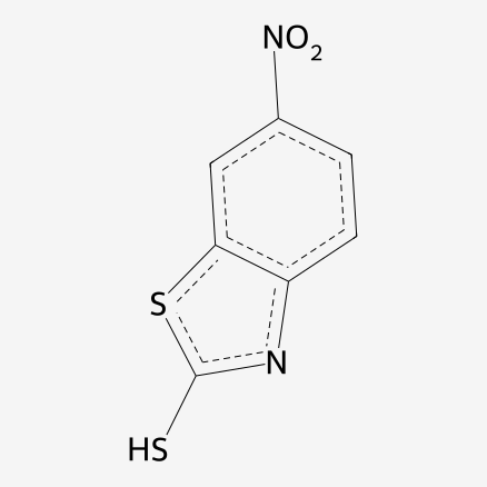 O=[N+]([O-])c1ccc2nc(S)sc2c1